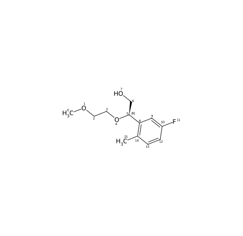 COCCO[C@@H](CO)c1cc(F)ccc1C